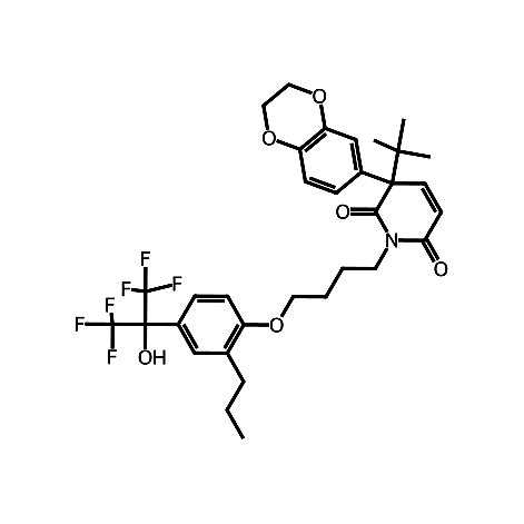 CCCc1cc(C(O)(C(F)(F)F)C(F)(F)F)ccc1OCCCCN1C(=O)C=CC(c2ccc3c(c2)OCCO3)(C(C)(C)C)C1=O